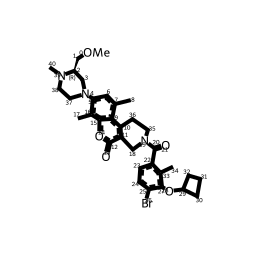 COC[C@H]1CN(c2cc(C)c3c4c(c(=O)oc3c2C)CN(C(=O)c2ccc(Br)c(OC3CCC3)c2C)CC4)CCN1C